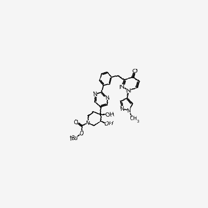 Cn1cc(-n2ccc(=O)c(Cc3cccc(-c4ncc(C5(O)CCN(C(=O)OC(C)(C)C)CC5O)cn4)c3)n2)cn1